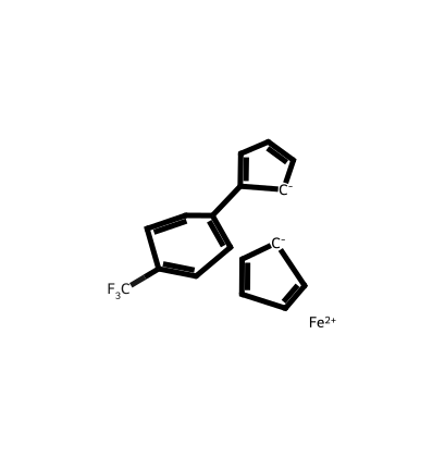 FC(F)(F)c1ccc(-c2ccc[cH-]2)cc1.[Fe+2].c1cc[cH-]c1